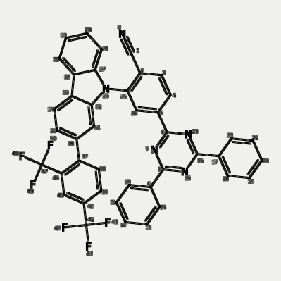 N#Cc1ccc(-c2nc(-c3ccccc3)nc(-c3ccccc3)n2)cc1-n1c2ccccc2c2ccc(-c3ccc(C(F)(F)F)cc3C(F)(F)F)cc21